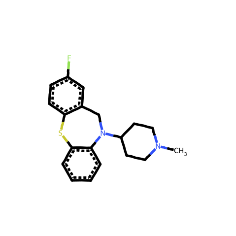 CN1CCC(N2Cc3cc(F)ccc3Sc3ccccc32)CC1